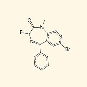 CN1C(=O)C(F)N=C(c2ccccc2)c2cc(Br)ccc21